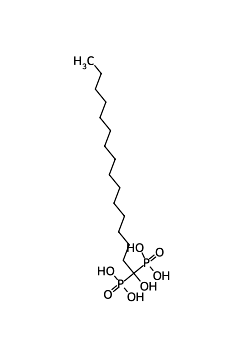 CCCCCCCCCCCCCCCC(O)(P(=O)(O)O)P(=O)(O)O